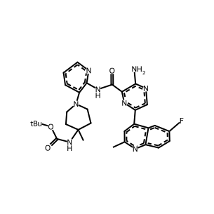 Cc1cc(-c2cnc(N)c(C(=O)Nc3ncccc3N3CCC(C)(NC(=O)OC(C)(C)C)CC3)n2)c2cc(F)ccc2n1